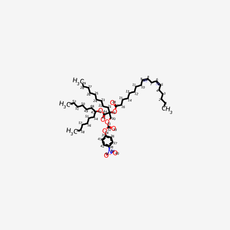 CCCCC/C=C\C/C=C\CCCCCCCC(=O)OC(CCCCCCCCC)(COC(=O)Oc1ccc([N+](=O)[O-])cc1)C(=O)OC(CCCCCC)CCCCCC